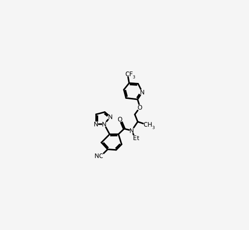 CCN(C(=O)c1ccc(C#N)cc1-n1nccn1)C(C)COc1ccc(C(F)(F)F)cn1